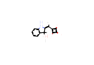 CC(=C1Nc2ccccc2C1(C)C)c1c(O)c(=O)c1=O